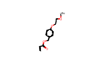 C=CC(=O)OCc1ccc(OCCOCCCC)cc1